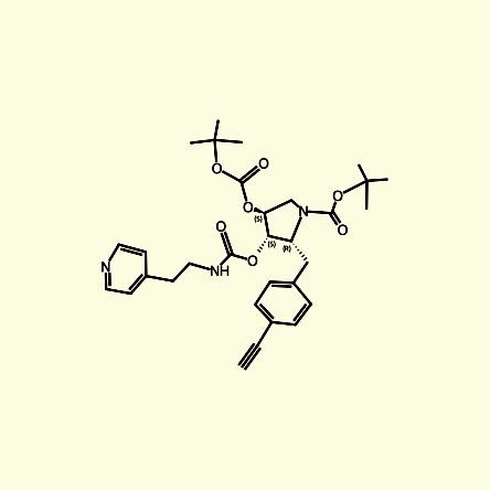 C#Cc1ccc(C[C@@H]2[C@H](OC(=O)NCCc3ccncc3)[C@@H](OC(=O)OC(C)(C)C)CN2C(=O)OC(C)(C)C)cc1